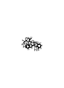 CN[C@@H](C)C(=O)NC(C(=O)N1c2ncccc2CC1C(=O)Nc1c(C)cccc1Cl)C(C)C